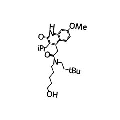 COc1ccc2c(CC(=O)N(CCCCCO)CCC(C)(C)C)c(C(C)C)c(=O)[nH]c2c1